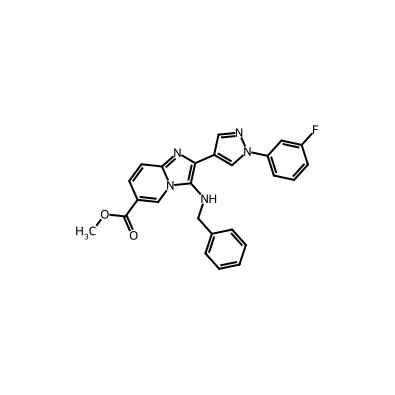 COC(=O)c1ccc2nc(-c3cnn(-c4cccc(F)c4)c3)c(NCc3ccccc3)n2c1